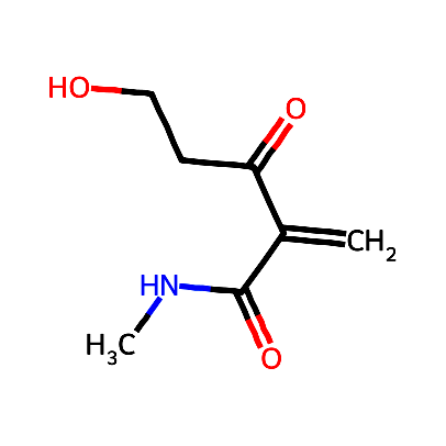 C=C(C(=O)CCO)C(=O)NC